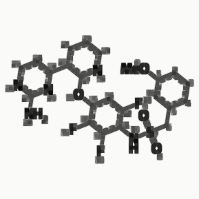 COc1cccc(CS(=O)(=O)Nc2c(F)cc(Oc3ncccc3-c3ccnc(N)n3)c(F)c2F)c1